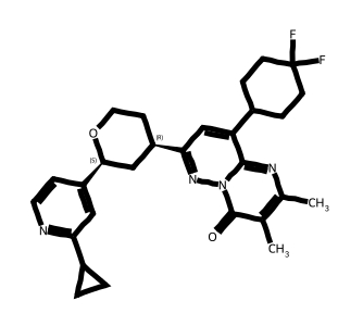 Cc1nc2c(C3CCC(F)(F)CC3)cc([C@@H]3CCO[C@H](c4ccnc(C5CC5)c4)C3)nn2c(=O)c1C